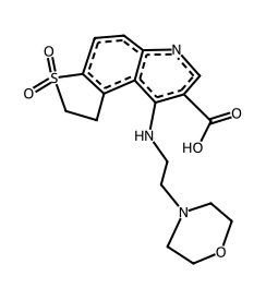 O=C(O)c1cnc2ccc3c(c2c1NCCN1CCOCC1)CCS3(=O)=O